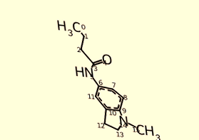 CCCC(=O)Nc1ccc2c(c1)CCN2C